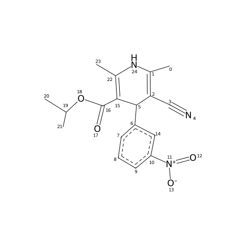 CC1=C(C#N)C(c2cccc([N+](=O)[O-])c2)C(C(=O)OC(C)C)=C(C)N1